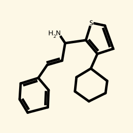 NC(C=Cc1ccccc1)c1sccc1C1CCCCC1